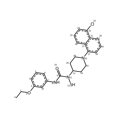 CCOc1cccc(NC(=O)N(S)C2CCN(c3ccnc4c(Cl)cccc34)CC2)c1